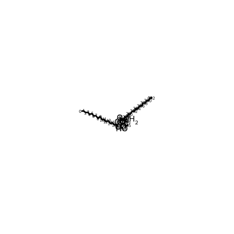 CCCCCCCCC=CCCCCCCCC(=O)OC(C)C(OC(=O)CCCCCCCC=CCCCCCCCC)C(C(C)O)C(C)(C)N